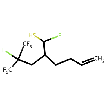 C=CCCC(CC(F)(C(F)(F)F)C(F)(F)F)C(F)S